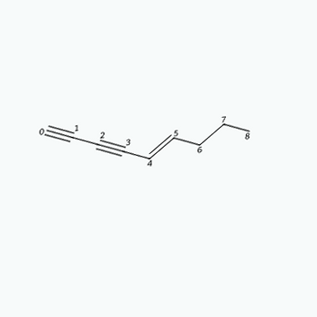 C#CC#CC=CCCC